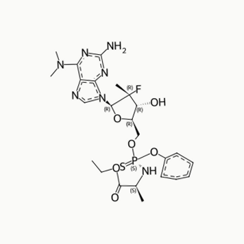 CCOC(=O)[C@H](C)N[P@](=S)(OC[C@H]1O[C@@H](n2cnc3c(N(C)C)nc(N)nc32)[C@](C)(F)[C@@H]1O)Oc1ccccc1